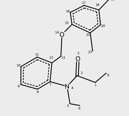 CCC(=O)N(CC)c1ccccc1COc1ccc(C)cc1C